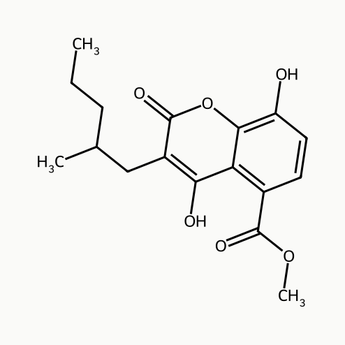 CCCC(C)Cc1c(O)c2c(C(=O)OC)ccc(O)c2oc1=O